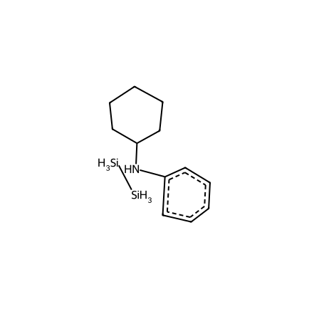 [SiH3][SiH3].c1ccc(NC2CCCCC2)cc1